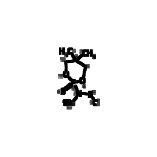 CC1(C)COP(=S)(N(SCl)C(C)(C)C)OC1